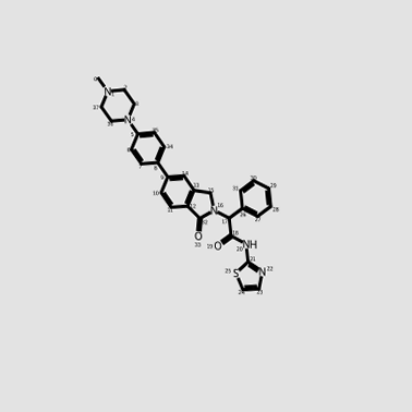 CN1CCN(c2ccc(-c3ccc4c(c3)CN(C(C(=O)Nc3nccs3)c3ccccc3)C4=O)cc2)CC1